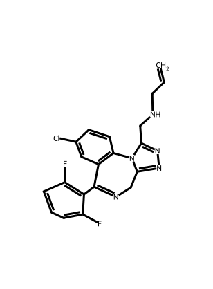 C=CCNCc1nnc2n1-c1ccc(Cl)cc1C(c1c(F)cccc1F)=NC2